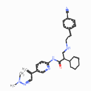 C=C(/C=N\N(C)C)c1ccc(NC(=O)C(CNCCc2ccc(C#N)cc2)C2CCCCC2)nc1